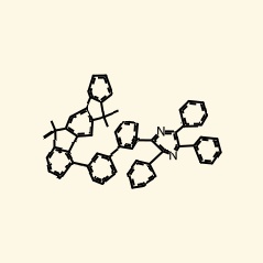 CC1(C)c2ccccc2-c2cc3c(cc21)-c1c(-c2cccc(-c4cccc(-c5nc(-c6ccccc6)c(-c6ccccc6)nc5-c5ccccc5)c4)c2)cccc1C3(C)C